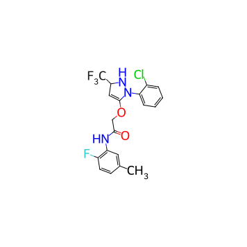 Cc1ccc(F)c(NC(=O)COC2=CC(C(F)(F)F)NN2c2ccccc2Cl)c1